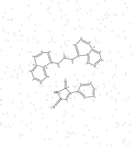 O=C1C=C(c2ccccc2)C(=O)N1.c1ccc2c(SOSc3cccc4ccccc34)cccc2c1